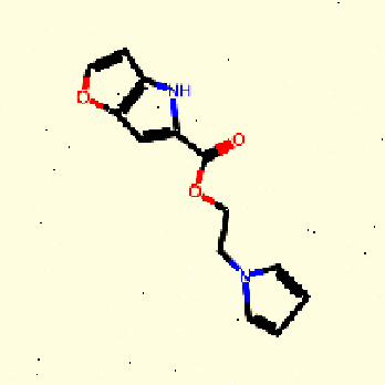 O=C(OCCn1cccc1)c1cc2occc2[nH]1